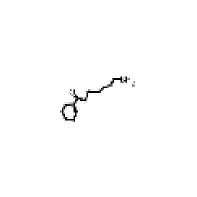 BCCCCCCC(=O)C1=CCCCC1